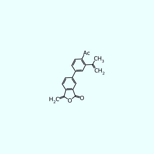 C=C(C)c1cc(-c2ccc3c(c2)C(=O)OC3=C)ccc1C(C)=O